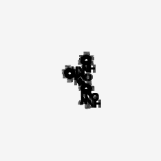 CNN(NC)C(=O)c1ccc(N2N=C(c3ccccc3)C(NNc3ccccc3)C2=O)cc1